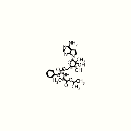 CC(C)OC(=O)[C@H](C)N[P@](=O)(OC[C@H]1O[C@@H](n2ccc3c(N)ncnc32)[C@](C)(O)[C@@H]1O)Oc1ccccc1